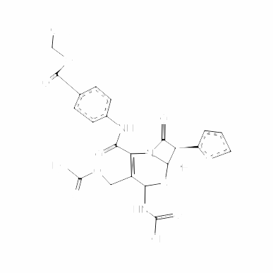 CCOC(=O)c1ccc(NC(=O)C2=C(COC(C)=O)C(NC(C)=O)S[C@@H]3[C@H](c4cccs4)C(=O)N23)cc1